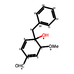 COC1C=C(C=O)C=CC1(O)Cc1ccccc1